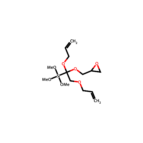 C=CCOCC(OCC=C)(OCC1CO1)[Si](OC)(OC)OC